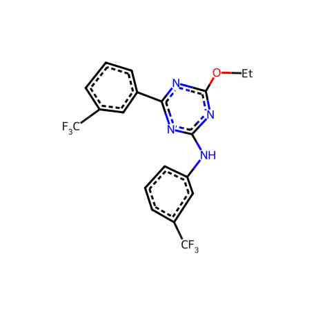 CCOc1nc(Nc2cccc(C(F)(F)F)c2)nc(-c2cccc(C(F)(F)F)c2)n1